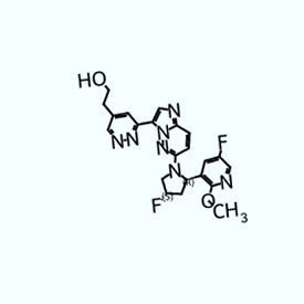 COc1ncc(F)cc1[C@H]1C[C@H](F)CN1c1ccc2ncc(-c3cc(CCO)cnn3)n2n1